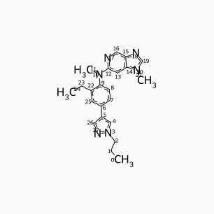 CCCn1cc(-c2ccc(N(C)c3cc4c(cn3)ncn4C)c(CC)c2)cn1